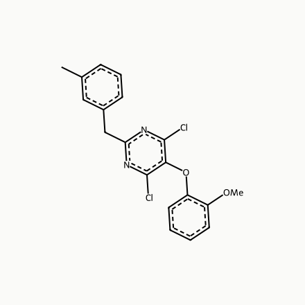 COc1ccccc1Oc1c(Cl)nc(Cc2cccc(C)c2)nc1Cl